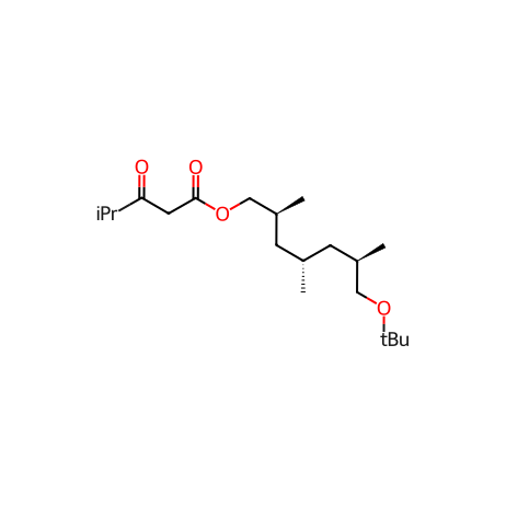 CC(C)C(=O)CC(=O)OC[C@@H](C)C[C@@H](C)C[C@@H](C)COC(C)(C)C